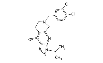 CC(C)n1ncc2c(=O)n3c(nc21)CN(Cc1ccc(Cl)c(Cl)c1)CC3